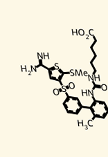 CSc1sc(C(=N)N)cc1S(=O)(=O)c1cccc(-c2c(C)cccc2NC(=O)NCCCCCC(=O)O)c1